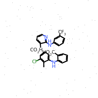 Cc1c(Cl)cccc1Nc1ccccc1C(=O)O.O=C(O)c1cccnc1Nc1cccc(C(F)(F)F)c1